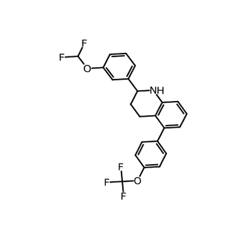 FC(F)Oc1cccc(C2CCc3c(cccc3-c3ccc(OC(F)(F)F)cc3)N2)c1